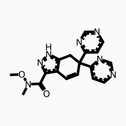 CON(C)C(=O)c1n[nH]c2c1C=CC(c1ccncn1)(c1ccncn1)C2